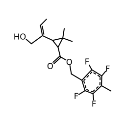 C/C=C(/CO)C1C(C(=O)OCc2c(F)c(F)c(C)c(F)c2F)C1(C)C